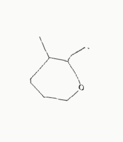 [CH2]C1OCCCC1C